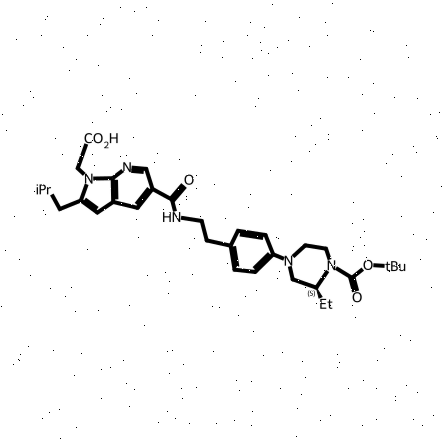 CC[C@H]1CN(c2ccc(CCNC(=O)c3cnc4c(c3)cc(CC(C)C)n4CC(=O)O)cc2)CCN1C(=O)OC(C)(C)C